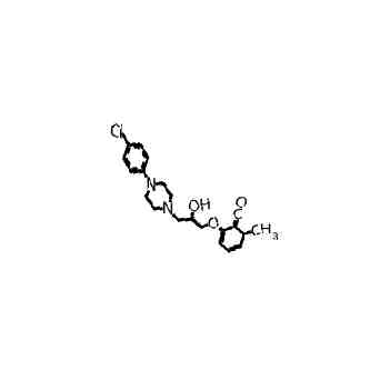 CC1C=CC=C(OCC(O)CN2CCN(c3ccc(Cl)cc3)CC2)C1=C=O